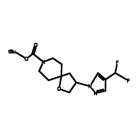 CC(C)(C)OC(=O)N1CCC2(CC1)CC(n1cc(C(F)F)cn1)CO2